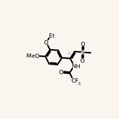 CCOc1cc(/C(=C/S(C)(=O)=O)NC(=O)C(F)(F)F)ccc1OC